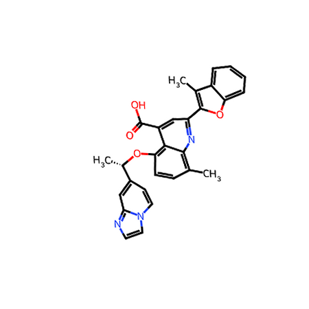 Cc1c(-c2cc(C(=O)O)c3c(O[C@@H](C)c4ccn5ccnc5c4)ccc(C)c3n2)oc2ccccc12